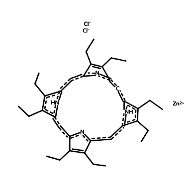 CCC1=C(CC)c2cc3[nH]c(cc4nc(cc5[nH]c(cc1n2)c(CC)c5CC)C(CC)=C4CC)c(CC)c3CC.[Cl-].[Cl-].[Zn+2]